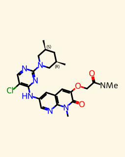 CNC(=O)COc1cc2cc(Nc3nc(N4C[C@H](C)C[C@H](C)C4)ncc3Cl)cnc2n(C)c1=O